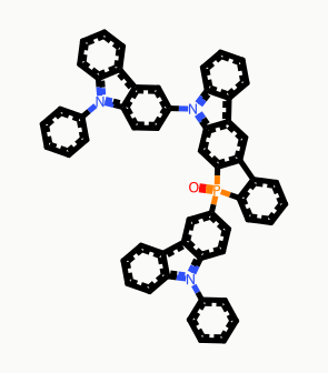 O=P1(c2ccc3c(c2)c2ccccc2n3-c2ccccc2)c2ccccc2-c2cc3c4ccccc4n(-c4ccc5c(c4)c4ccccc4n5-c4ccccc4)c3cc21